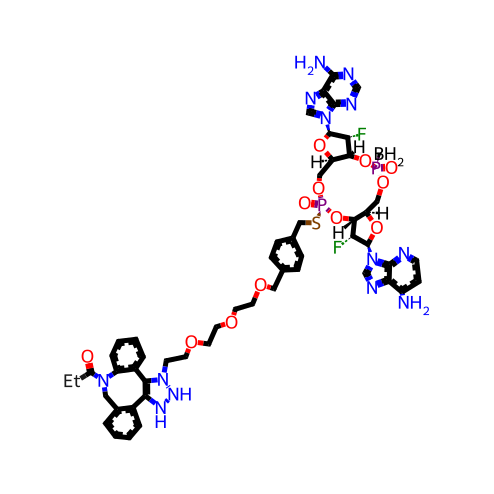 B[P@@]1(=O)OC[C@H]2O[C@@H](n3cnc4c(N)ccnc43)[C@H](F)[C@@H]2O[P@@](=O)(SCc2ccc(COCCOCCOCCN3NNC4=C3c3ccccc3N(C(=O)CC)Cc3ccccc34)cc2)OC[C@H]2O[C@@H](n3cnc4c(N)ncnc43)[C@H](F)[C@@H]2O1